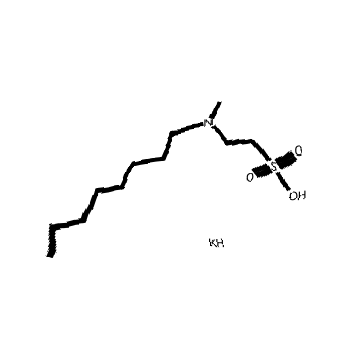 CCCCCCCCN(C)CCS(=O)(=O)O.[KH]